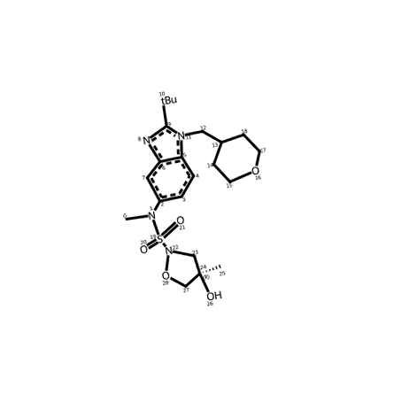 CN(c1ccc2c(c1)nc(C(C)(C)C)n2CC1CCOCC1)S(=O)(=O)N1C[C@@](C)(O)CO1